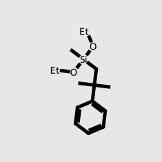 CCO[Si](C)(CC(C)(C)c1ccccc1)OCC